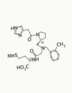 CSCC[C@H](NC(=O)CN(Cc1ccccc1C)C[C@@H]1CCCN1C(=O)Cc1c[nH]cn1)C(=O)O